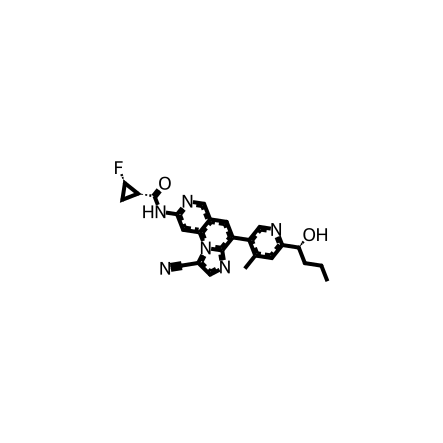 CCC[C@@H](O)c1cc(C)c(-c2cc3cnc(NC(=O)[C@@H]4C[C@@H]4F)cc3n3c(C#N)cnc23)cn1